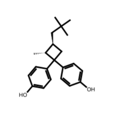 C[C@@H]1[C@@H](CC(C)(C)C)CC1(c1ccc(O)cc1)c1ccc(O)cc1